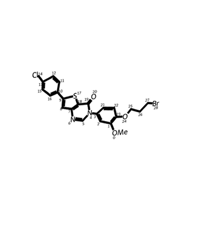 COc1cc(-n2cnc3cc(-c4ccc(Cl)cc4)sc3c2=O)ccc1OCCCBr